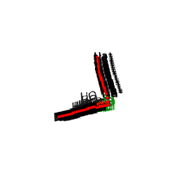 O=C(O)CCl.O=C(O)CCl.O=C(O)CCl.O=C(O)CCl.O=C(O)CCl.O=C(O)CCl.O=C(O)CCl.O=C(O)CCl.O=C(O)CCl.[Na+].[Na+].[Na+].[Na+].[Na+].[Na+].[Na+].[Na+].[Na+].[Na+].[Na+].[Na+].[Na+].[Na+].[Na+].[Na+].[Na+].[Na+].[Na+].[Na+].[Na+].[Na+].[Na+].[Na+].[Na+].[Na+].[Na+].[Na+].[Na+].[Na+].[Na+].[Na+].[Na+].[Na+].[Na+].[Na+].[Na+].[Na+].[Na+].[Na+].[Na+].[Na+].[Na+].[Na+].[Na+].[Na+].[Na+].[Na+].[Na+].[Na+].[Na+].[Na+].[Na+].[Na+].[Na+].[Na+].[Na+].[Na+].[Na+].[Na+].[Na+].[Na+].[Na+].[Na+].[Na+].[Na+].[Na+].[Na+].[Na+].[Na+].[Na+].[Na+].[Na+].[Na+].[Na+].[Na+].[Na+].[Na+].[Na+]